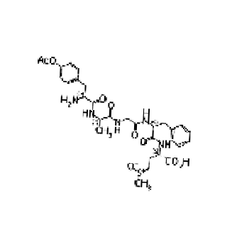 CC(=O)Oc1ccc(C[C@H](N)C(=O)N[C@H](C)C(=O)NCC(=O)N[C@@H](Cc2ccccc2)C(=O)N[C@@H](CC[S+](C)[O-])C(=O)O)cc1